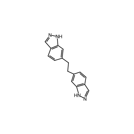 c1cc2cn[nH]c2cc1CCc1ccc2cn[nH]c2c1